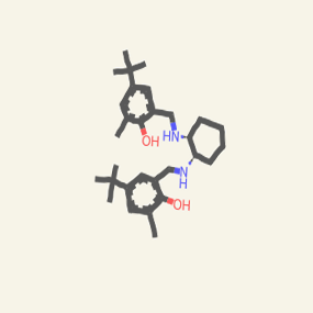 Cc1cc(C(C)(C)C)cc(CN[C@H]2CCCC[C@H]2NCc2cc(C(C)(C)C)cc(C)c2O)c1O